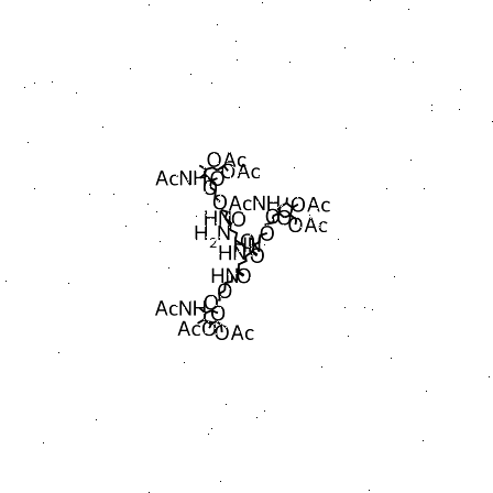 CC(=O)NC1C(OCCOCCNC(=O)CCC(NC(=O)CCC(N)C(=O)NCCOCCOC2OC(COC(C)=O)C(OC(C)=O)C(C)C2NC(C)=O)C(=O)NCCOCCOC2OC(COC(C)=O)C(OC(C)=O)C(C)C2NC(C)=O)OC(COC(C)=O)C(OC(C)=O)C1C